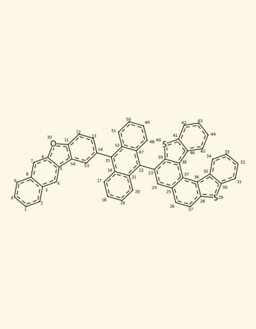 c1ccc2cc3c(cc2c1)oc1ccc(-c2c4ccccc4c(-c4cc5ccc6sc7ccccc7c6c5c5c4sc4ccccc45)c4ccccc24)cc13